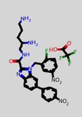 NCCCC(N)CNC(=O)c1nc2ccc(-c3ccc([N+](=O)[O-])cc3)cc2n1Cc1cc([N+](=O)[O-])ccc1F.O=C(O)C(F)(F)F